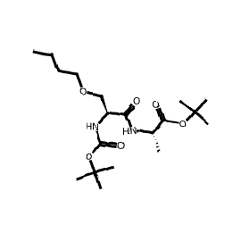 CCCCOC[C@H](NC(=O)OC(C)(C)C)C(=O)N[C@@H](C)C(=O)OC(C)(C)C